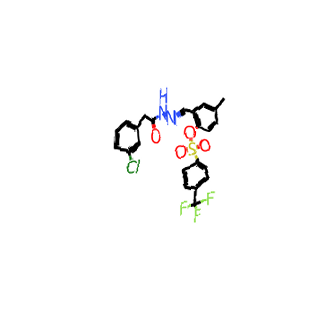 Cc1ccc(OS(=O)(=O)c2ccc(C(F)(F)F)cc2)c(/C=N/NC(=O)Cc2cccc(Cl)c2)c1